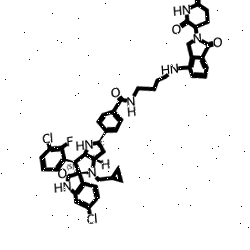 O=C1CCC(N2Cc3c(NCCCCNC(=O)c4ccc([C@H]5C[C@H]6C(N5)[C@H](c5cccc(Cl)c5F)[C@]5(C(=O)Nc7cc(Cl)ccc75)N6CC5CC5)cc4)cccc3C2=O)C(=O)N1